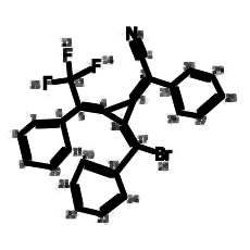 N#C/C(=C1\C(=C(c2ccccc2)C(F)(F)F)\C1=C(\Br)c1ccccc1)c1ccccc1